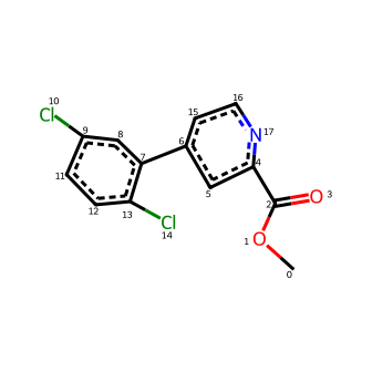 COC(=O)c1cc(-c2cc(Cl)ccc2Cl)ccn1